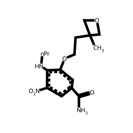 CCCNc1c(OCCC2(C)COC2)cc(C(N)=O)cc1[N+](=O)[O-]